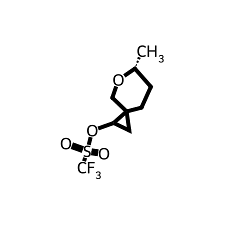 C[C@@H]1CCC2(CO1)CC2OS(=O)(=O)C(F)(F)F